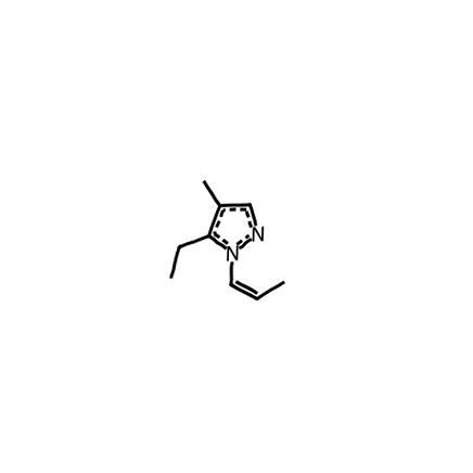 C/C=C\n1ncc(C)c1CC